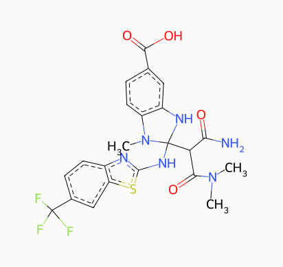 CN(C)C(=O)C(C(N)=O)C1(Nc2nc3ccc(C(F)(F)F)cc3s2)Nc2cc(C(=O)O)ccc2N1C